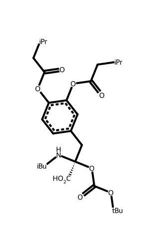 CCC(C)N[C@@](Cc1ccc(OC(=O)CC(C)C)c(OC(=O)CC(C)C)c1)(OC(=O)OC(C)(C)C)C(=O)O